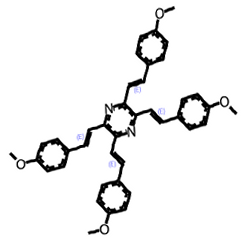 COc1ccc(/C=C/c2nc(/C=C/c3ccc(OC)cc3)c(/C=C/c3ccc(OC)cc3)nc2/C=C/c2ccc(OC)cc2)cc1